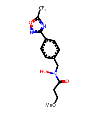 COCCC(=O)N(O)Cc1ccc(-c2noc(C(F)(F)F)n2)cc1